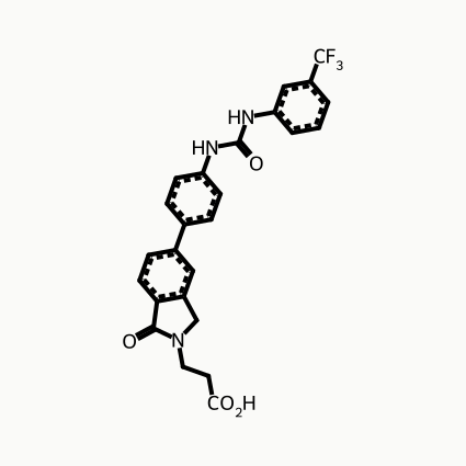 O=C(O)CCN1Cc2cc(-c3ccc(NC(=O)Nc4cccc(C(F)(F)F)c4)cc3)ccc2C1=O